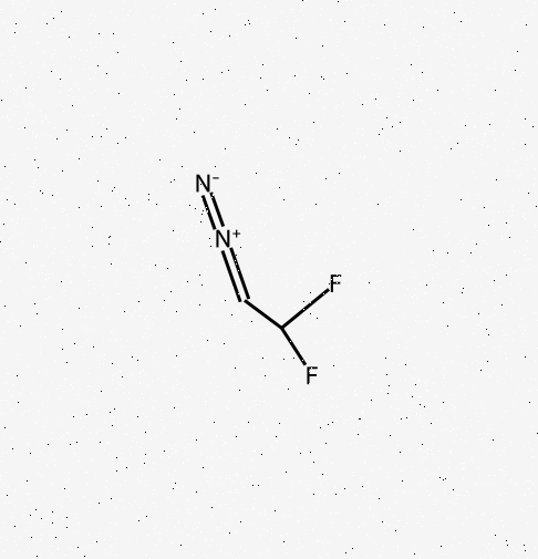 [N-]=[N+]=CC(F)F